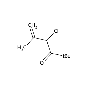 C=C(C)C(Cl)C(=O)C(C)(C)C